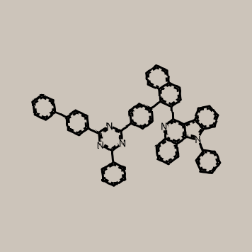 c1ccc(-c2ccc(-c3nc(-c4ccccc4)nc(-c4ccc(-c5c(-c6nc7ccccc7c7c6c6ccccc6n7-c6ccccc6)ccc6ccccc56)cc4)n3)cc2)cc1